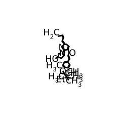 C=C/C=C\C=C1/CC=C(C(=O)/C=C/c2cc(C)c(OC(C)(C)C(C)(C)CC)c(C)c2)C(N2CCC(O)C2)=N1